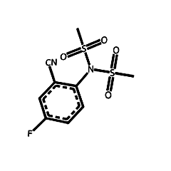 CS(=O)(=O)N(c1ccc(F)cc1C#N)S(C)(=O)=O